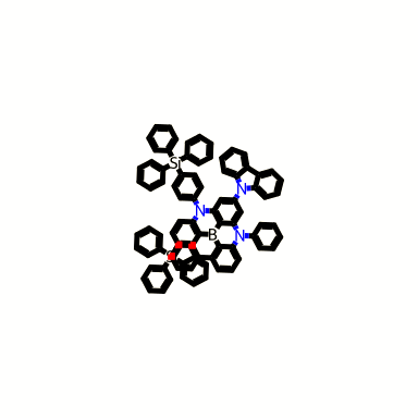 c1ccc(-c2cccc3c2B2c4cc([Si](c5ccccc5)(c5ccccc5)c5ccccc5)ccc4N(c4ccc([Si](c5ccccc5)(c5ccccc5)c5ccccc5)cc4)c4cc(-n5c6ccccc6c6ccccc65)cc(c42)N3c2ccccc2)cc1